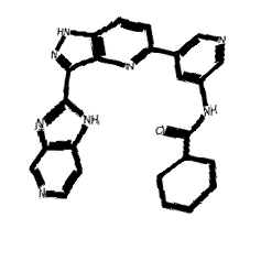 O=C(Nc1cncc(-c2ccc3[nH]nc(-c4nc5cnccc5[nH]4)c3n2)c1)C1CCCCC1